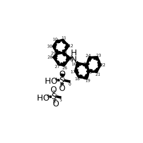 CS(=O)(=O)O.CS(=O)(=O)O.c1ccc2c(Nc3cccc4ccccc34)cccc2c1